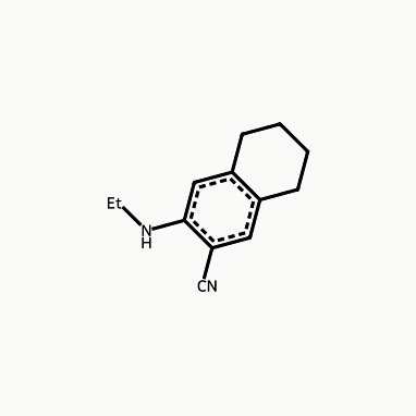 CCNc1cc2c(cc1C#N)CCCC2